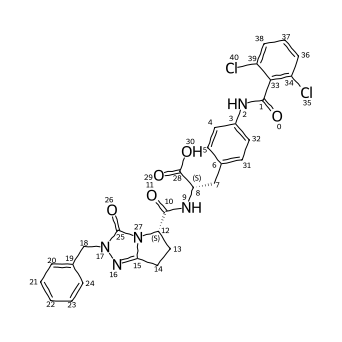 O=C(Nc1ccc(C[C@H](NC(=O)[C@@H]2CCc3nn(Cc4ccccc4)c(=O)n32)C(=O)O)cc1)c1c(Cl)cccc1Cl